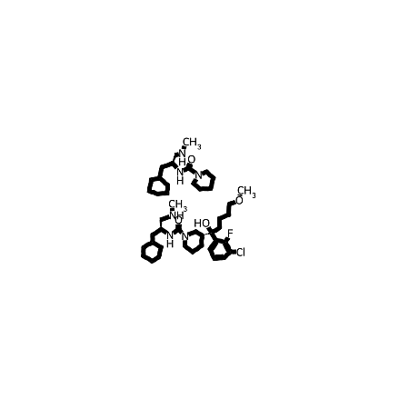 CNC[C@H](CC1CCCCC1)NC(=O)N1CCCCC1.CNC[C@H](CC1CCCCC1)NC(=O)N1CCC[C@@H](C(O)(CCCCOC)c2cccc(Cl)c2F)C1